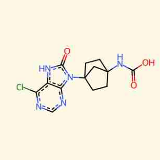 O=C(O)NC12CCC(n3c(=O)[nH]c4c(Cl)ncnc43)(CC1)C2